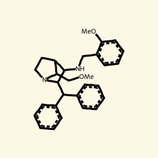 COCC1C2CCN1C(C(c1ccccc1)c1ccccc1)C2NCc1ccccc1OC